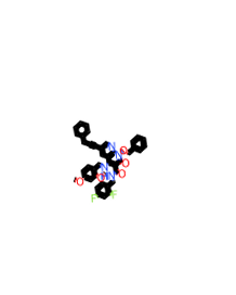 COc1ccc(CNc2c(C(=O)NCc3ccc(F)cc3F)c(=O)n(OCc3ccccc3)c3ncc(C#CCC4CCCCC4)cc23)c(OC)c1